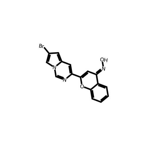 O/N=c1\cc(-c2cc3cc(Br)cn3cn2)oc2ccccc12